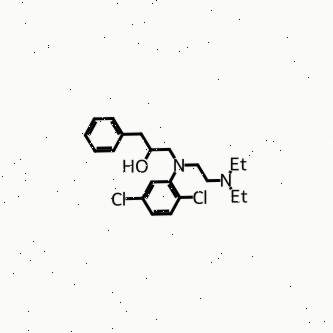 CCN(CC)CCN(CC(O)Cc1ccccc1)c1cc(Cl)ccc1Cl